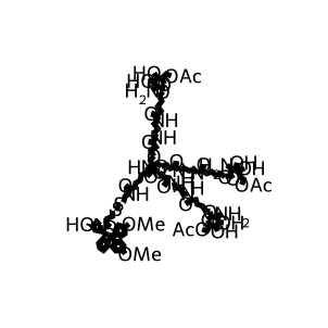 COc1ccc(C(OC[C@@H]2C[C@@H](O)CN2C(=O)CCCSSCCNC(=O)CCCCC(=O)NC(COCCC(=O)NCCCNC(=O)CCCCOC2OC(COC(C)=O)C(O)C(O)C2N)(COCCC(=O)NCCCNC(=O)CCCCOC2OC(COC(C)=O)C(O)C(O)C2N)COCCC(=O)NCCCNC(=O)CCCCOC2OC(COC(C)=O)C(O)C(O)C2N)(c2ccccc2)c2ccc(OC)cc2)cc1